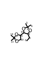 CCC1OC(C)(C)OC1C1COC(C)(C)O1